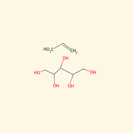 C=CC(=O)O.OCC(O)C(O)C(O)CO